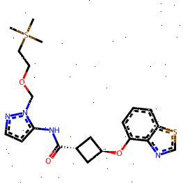 CS(C)(C)CCOCn1nccc1NC(=O)[C@H]1C[C@H](Oc2cccc3scnc23)C1